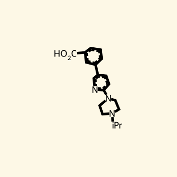 CC(C)N1CCN(c2ccc(-c3cccc(C(=O)O)c3)cn2)CC1